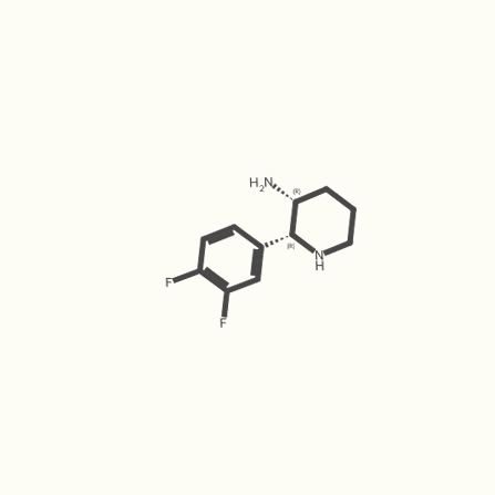 N[C@@H]1CCCN[C@@H]1c1ccc(F)c(F)c1